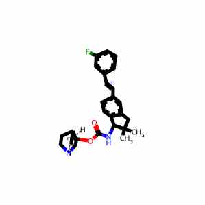 CC1(C)Cc2cc(/C=C/c3cccc(F)c3)ccc2C1NC(=O)O[C@H]1CN2CCC1CC2